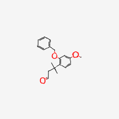 COc1ccc(C(C)(C)CC=O)c(OCc2ccccc2)c1